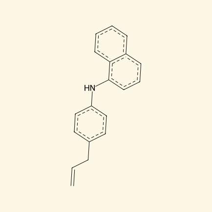 C=CCc1ccc(Nc2cccc3ccccc23)cc1